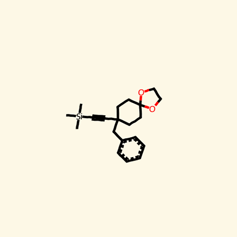 C[Si](C)(C)C#CC1(Cc2ccccc2)CCC2(CC1)OCCO2